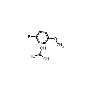 COc1cc[c]([K])cc1.OB(O)O